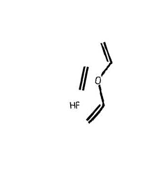 C=C.C=COC=C.F